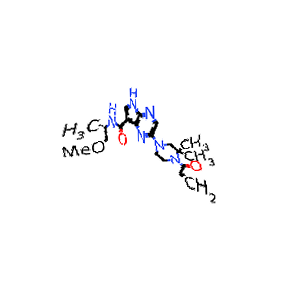 C=CC(=O)N1CCN(c2cnc3[nH]cc(C(=O)N[C@@H](C)COC)c3n2)CC1(C)C